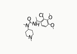 COc1ccc(C(C)NC(=O)N(C)C2CCN(C)CC2)c(Cl)c1OC